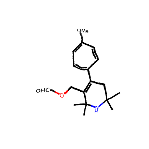 COc1ccc(C2=C(COC=O)C(C)(C)NC(C)(C)C2)cc1